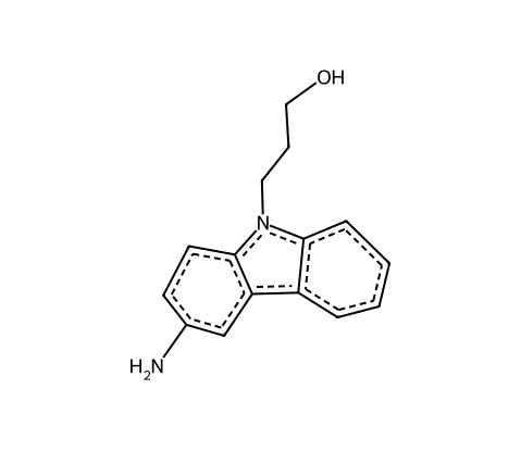 Nc1ccc2c(c1)c1ccccc1n2CCCO